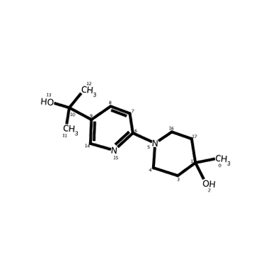 CC1(O)CCN(c2ccc(C(C)(C)O)cn2)CC1